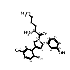 CCCC[C@H](N)C(=O)N1CC(C2C=C(Cl)C=CC2F)=C[C@H]1c1cccc(O)c1